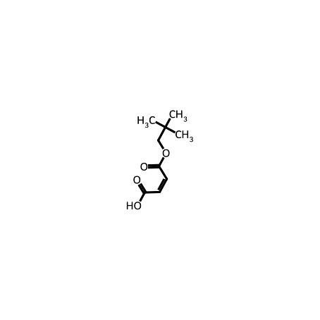 CC(C)(C)COC(=O)/C=C\C(=O)O